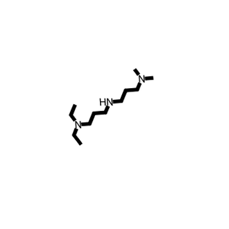 CCN(CC)CCCNCCCN(C)C